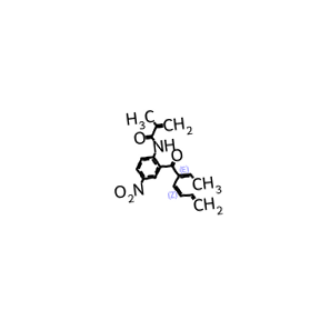 C=C/C=C\C(=C/C)C(=O)c1cc([N+](=O)[O-])ccc1NC(=O)C(=C)C